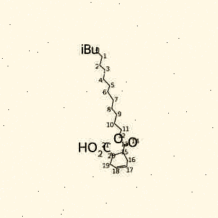 CCC(C)CCCCCCCCCCCOC(=O)C1CC=CCC1C(=O)O